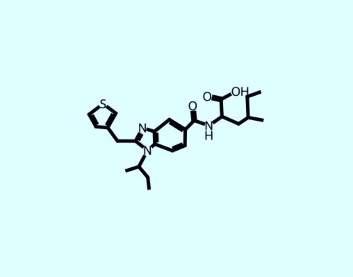 CCC(C)CC(NC(=O)c1ccc2c(c1)nc(Cc1ccsc1)n2C(C)CC)C(=O)O